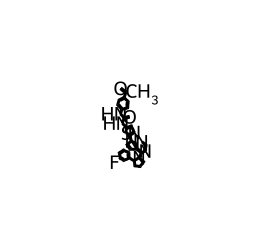 CC(=O)c1ccc(NC(=O)Nc2cnc(-n3ccc4c(N5CCCC5c5cccc(F)c5)ncnc43)s2)cc1